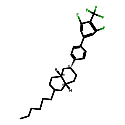 CCCCCCC1CC[C@@H]2C[C@H](c3ccc(-c4cc(F)c(C(F)(F)F)c(F)c4)cc3)CC[C@@H]2C1